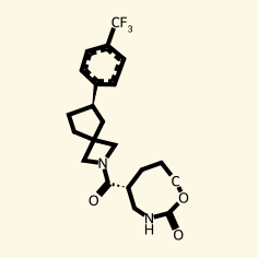 O=C1NC[C@H](C(=O)N2CC3(CC[C@@H](c4ccc(C(F)(F)F)cc4)C3)C2)CCCO1